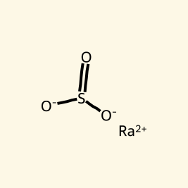 O=S([O-])[O-].[Ra+2]